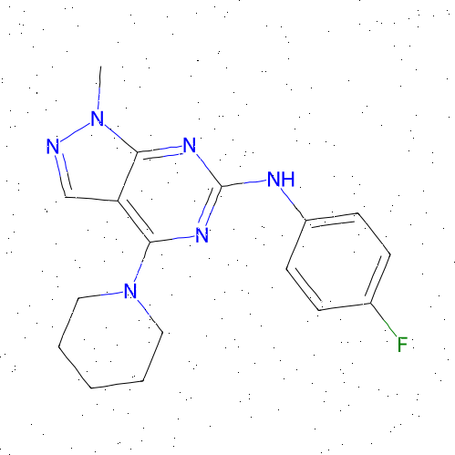 Cn1ncc2c(N3CCCCC3)nc(Nc3ccc(F)cc3)nc21